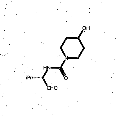 CC(C)[C@@H](C=O)NC(=O)N1CCC(O)CC1